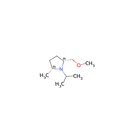 COC[C@H]1CC[C@@H](C)N1C(C)C